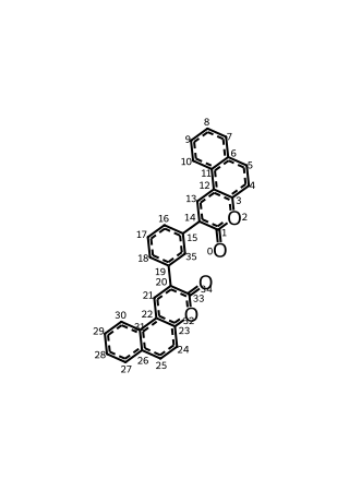 O=c1oc2ccc3ccccc3c2cc1-c1cccc(-c2cc3c(ccc4ccccc43)oc2=O)c1